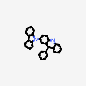 c1ccc(-c2c3ccccc3nc3ccc(-n4c5ccccc5c5ccccc54)cc23)cc1